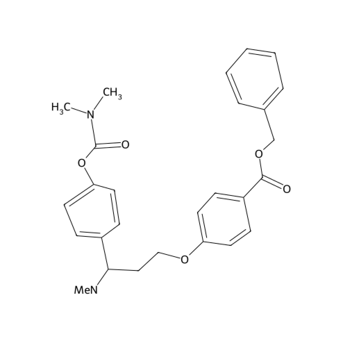 CNC(CCOc1ccc(C(=O)OCc2ccccc2)cc1)c1ccc(OC(=O)N(C)C)cc1